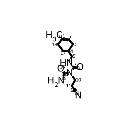 CC1=CCC(CNC(=O)N(CCC#N)C(N)=O)CC1